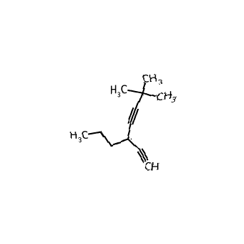 C#C[C](C#CC(C)(C)C)CCC